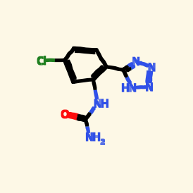 NC(=O)Nc1cc(Cl)ccc1-c1nnn[nH]1